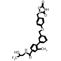 Cc1cc(C(=O)NCC(O)C(F)(F)F)ccc1-c1cccc(COc2ccc(Cn3oc(=O)[nH]c3=O)cc2)c1